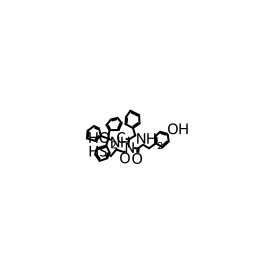 NC(Cc1ccc(O)cc1)C(=O)N(C(=O)C(CS)NC(c1ccccc1)(c1ccccc1)c1ccccc1)C(Cc1ccccc1)C(=O)O